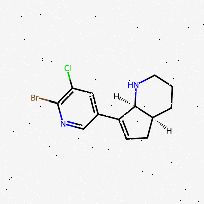 Clc1cc(C2=CC[C@@H]3CCCN[C@H]23)cnc1Br